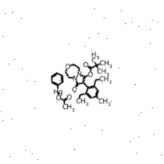 CC(=O)[O][Hg][c]1ccccc1.CCc1cc(C)cc(CC)c1-c1c(OC(=O)C(C)(C)C)n2n(c1=O)CCOCC2